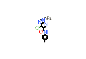 CCCCn1cnc2c(Cl)c(C(=O)Nc3ccc(C)cc3)cnc21